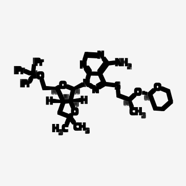 CC(C)[Si](OC[C@H]1O[C@@H](n2nc(SC[C@H](C)O[C@H]3CCCCO3)c3c(N)ncnc32)[C@@H]2OC(C)(C)C[C@@H]21)(C(C)C)C(C)C